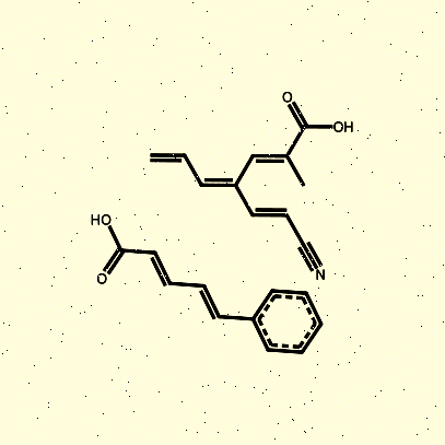 C=CC=C(C=CC#N)C=C(C)C(=O)O.O=C(O)C=CC=Cc1ccccc1